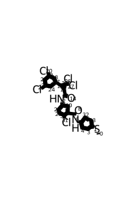 CSc1ccc(NC(=O)c2cc(NC(=O)C3C(c4cc(Cl)cc(Cl)c4)C3(Cl)Cl)ccc2Cl)cc1